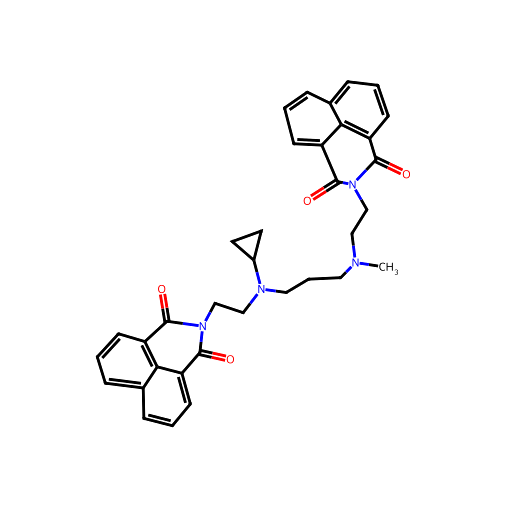 CN(CCCN(CCN1C(=O)c2cccc3cccc(c23)C1=O)C1CC1)CCN1C(=O)c2cccc3cccc(c23)C1=O